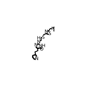 CN(C)Cc1nc(CSCCNc2ncc(CCc3cccnc3)c(=O)[nH]2)cs1